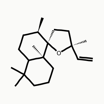 C=C[C@]1(C)CC[C@@]2(O1)[C@H](C)CCC1C(C)(C)CCC[C@@]12C